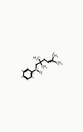 CC(=O)N(CC(C)(C)CC=C(C)C)c1ccccc1